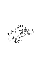 CCCCC(CC)COP(=O)(OCC(CC)CCCC)OC(C)O